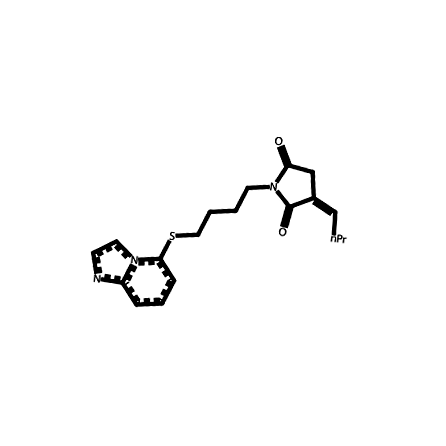 CCCC=C1CC(=O)N(CCCCSc2cccc3nccn23)C1=O